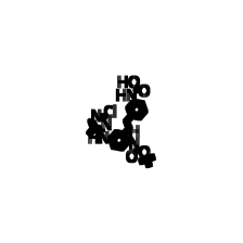 Cc1cnc(Cl)nc1Nc1ccc(NC(=O)OC(C)(C)C)c(CCc2cccc(NC(=O)O)c2)c1